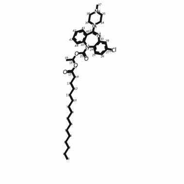 CCCCCCCCCCCCCCCC(=O)OC(C)OC(=O)N1c2ccc(Cl)cc2N=C(N2CCN(C)CC2)c2ccccc21